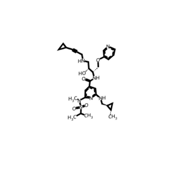 CC(C)S(=O)(=O)N(C)c1cc(C(=O)N[C@@H](COc2cccnc2)[C@H](O)CNCC#CC2CC2)cc(NC[C@H]2C[C@@H]2C)n1